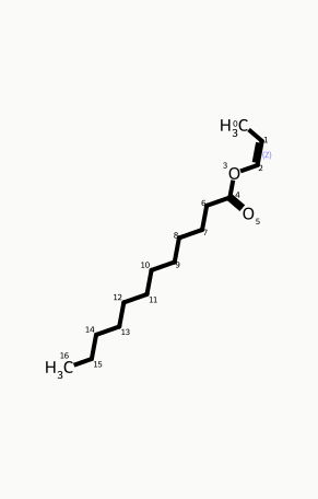 C/C=C\OC(=O)CCCCCCCCCCC